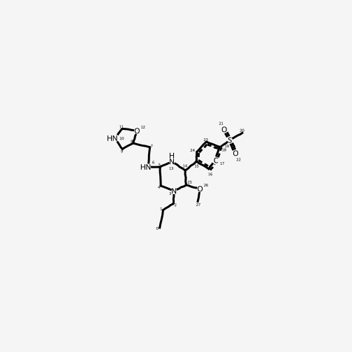 CCCN1CC(NCC2CNCO2)NC(c2ccc(S(C)(=O)=O)cc2)C1OC